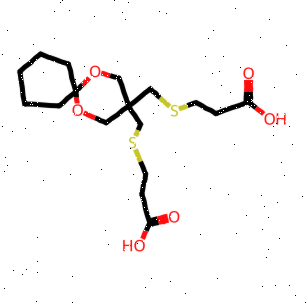 O=C(O)CCSCC1(CSCCC(=O)O)COC2(CCCCC2)OC1